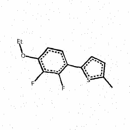 CCOc1ccc(-c2ccc(C)s2)c(F)c1F